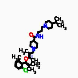 CC(C)=C(O/C(C)=C(\C)CN1CCC(C(=O)NCCCN2CCC(C(C)C)CC2)CC1)c1c(C)cccc1Cl